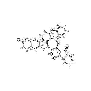 O=C1[C@H](N2C(=O)c3ccccc3C2=O)N=C(c2ccccc2F)c2ccccc2N1Cc1ccc2oc(=O)ccc2c1